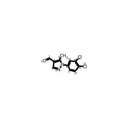 Cc1c(C=O)cnn1-c1ccc(Cl)c(Cl)c1